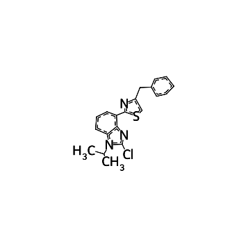 CC(C)n1c(Cl)nc2c(-c3nc(Cc4ccccc4)cs3)cccc21